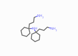 NCCCC1(NC2(CCCN)CCCCC2)CCCCC1